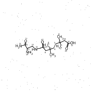 CC(C)(CCC(C)(C)CC(=O)NCC(N)C(N)=O)CC(=O)O